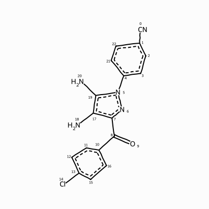 N#Cc1ccc(-n2nc(C(=O)c3ccc(Cl)cc3)c(N)c2N)cc1